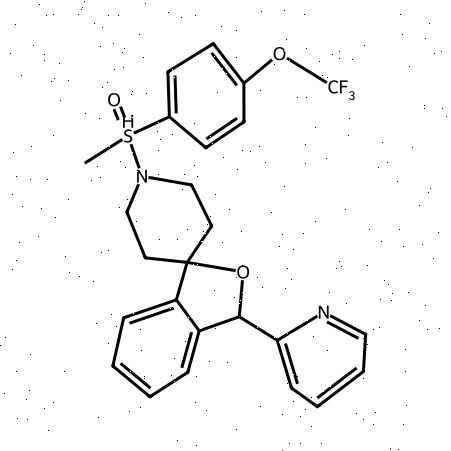 C[SH](=O)(c1ccc(OC(F)(F)F)cc1)N1CCC2(CC1)OC(c1ccccn1)c1ccccc12